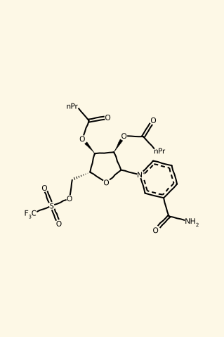 CCCC(=O)O[C@@H]1[C@@H](COS(=O)(=O)C(F)(F)F)OC([n+]2cccc(C(N)=O)c2)[C@@H]1OC(=O)CCC